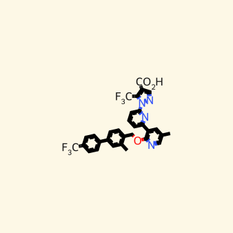 Cc1cnc(OCc2ccc(-c3ccc(C(F)(F)F)cc3)cc2C)c(-c2cccc(-n3ncc(C(=O)O)c3C(F)(F)F)n2)c1